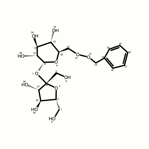 OC[C@H]1O[C@@](CO)(O[C@H]2O[C@H](COOCc3ccccc3)[C@@H](O)[C@H](O)[C@H]2O)[C@@H](O)[C@@H]1O